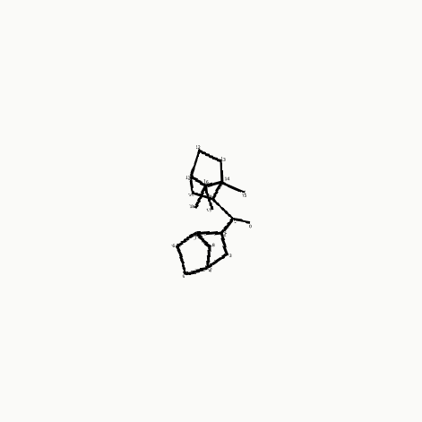 CC(C1CC2CCC1C2)C1CC2CCC1(C)C2(C)C